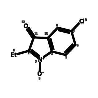 CCC1=[N+]([O-])c2ccc(Cl)cc2C1=O